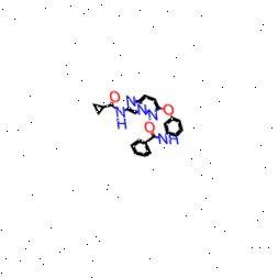 O=C(Nc1cccc(Oc2ccc3nc(NC(=O)C4CC4)cn3n2)c1)c1ccccc1